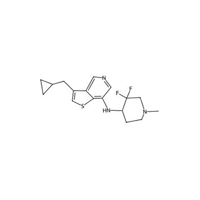 CN1CCC(Nc2cncc3c(CC4CC4)csc23)C(F)(F)C1